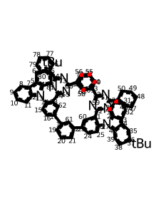 CC(C)(C)c1ccc2c(c1)c1ccccc1n2-c1ccc(-c2cccc(-c3ccc(-n4c5ccccc5c5cc(C(C)(C)C)ccc54)c(-c4nc(-c5ccccc5)nc(-c5ccccc5)n4)c3)c2)cc1-c1nc(-c2ccccc2)nc(-c2ccccc2)n1